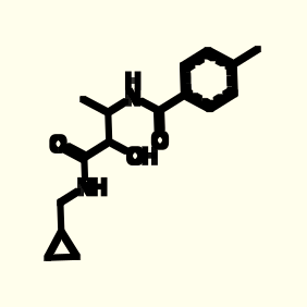 Cc1ccc(C(=O)NC(C)C(O)C(=O)NCC2CC2)cc1